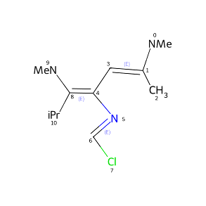 CN/C(C)=C/C(/N=C/Cl)=C(\NC)C(C)C